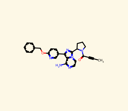 CC#CC(=O)N1CCCC1c1nc(-c2ccc(OCc3ccccc3)nc2)c2c(N)nccn12